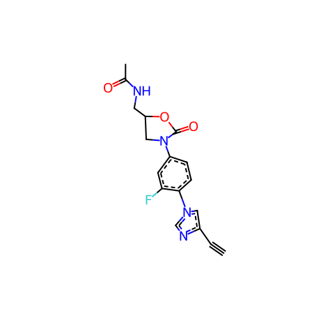 C#Cc1cn(-c2ccc(N3CC(CNC(C)=O)OC3=O)cc2F)cn1